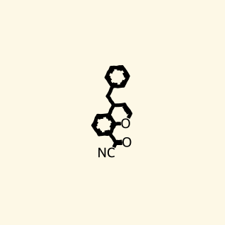 N#CC(=O)c1cccc2c1OC=CC2Cc1ccccc1